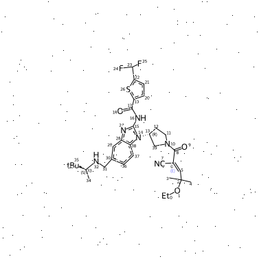 CCOC(C)(C)/C=C(\C#N)C(=O)N1CC[C@@H](n2c(NC(=O)c3ccc(C(F)F)s3)nc3cc(CN[C@@H](C)C(C)(C)C)ccc32)C1